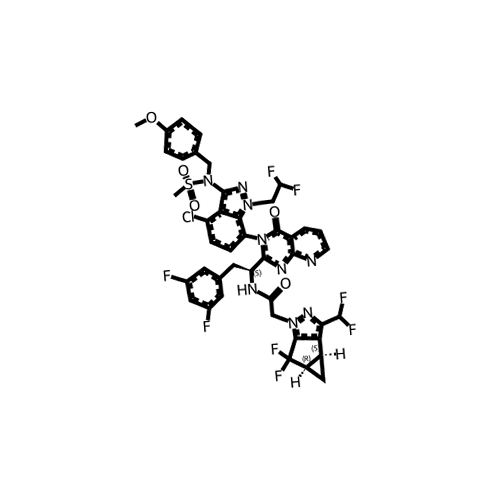 COc1ccc(CN(c2nn(CC(F)F)c3c(-n4c([C@H](Cc5cc(F)cc(F)c5)NC(=O)Cn5nc(C(F)F)c6c5C(F)(F)[C@@H]5C[C@H]65)nc5ncccc5c4=O)ccc(Cl)c23)S(C)(=O)=O)cc1